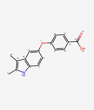 Cc1[nH]c2ccc(Oc3ccc(C(=O)O)cc3)cc2c1C